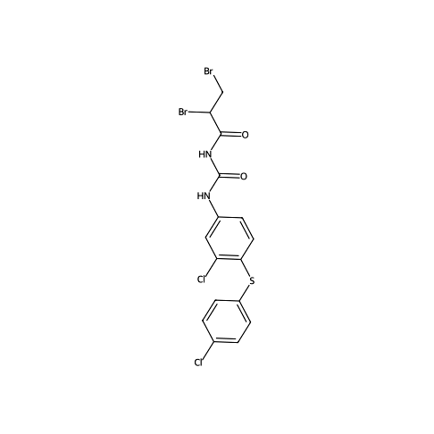 O=C(NC(=O)C(Br)CBr)Nc1ccc(Sc2ccc(Cl)cc2)c(Cl)c1